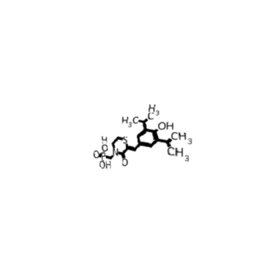 CC(C)c1cc(C=C2SCCN(CP(=O)(O)O)C2=O)cc(C(C)C)c1O